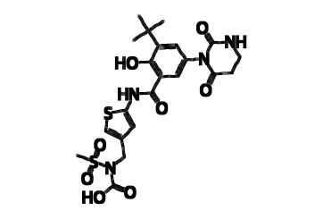 CC(C)(C)c1cc(N2C(=O)CCNC2=O)cc(C(=O)Nc2cc(CN(C(=O)O)S(C)(=O)=O)cs2)c1O